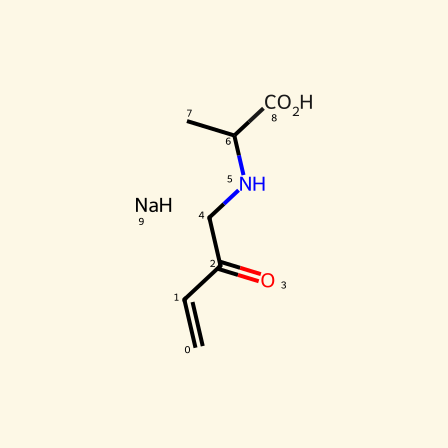 C=CC(=O)CNC(C)C(=O)O.[NaH]